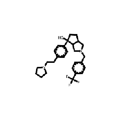 OC1(c2ccc(CCN3CCCC3)cc2)CCC2CN(Cc3ccc(C(F)(F)F)cc3)CC21